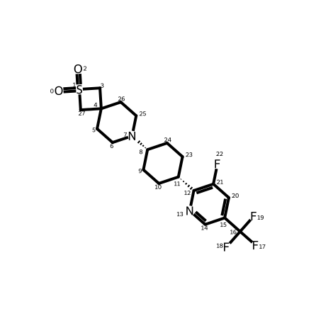 O=S1(=O)CC2(CCN([C@H]3CC[C@@H](c4ncc(C(F)(F)F)cc4F)CC3)CC2)C1